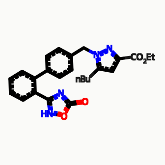 CCCCc1cc(C(=O)OCC)nn1Cc1ccc(-c2ccccc2-c2nc(=O)o[nH]2)cc1